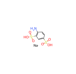 Nc1ccc(S(=O)(=O)O)cc1S(=O)(=O)O.[Na]